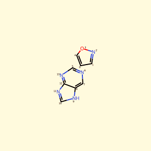 c1cnoc1.c1ncc2[nH]cnc2n1